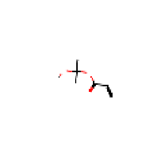 C=CC(=O)OC(C)(C)OC(=O)O